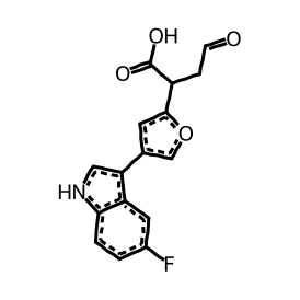 O=CCC(C(=O)O)c1cc(-c2c[nH]c3ccc(F)cc23)co1